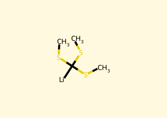 [Li][C](SC)(SC)SC